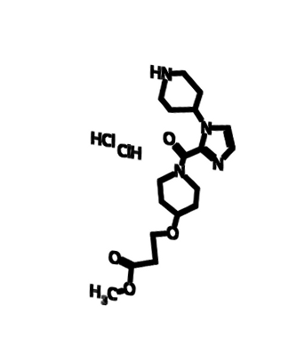 COC(=O)CCOC1CCN(C(=O)c2nccn2C2CCNCC2)CC1.Cl.Cl